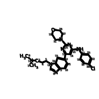 CN(C)CCCn1cnc2ccc(-c3cc(Nc4ccc(Cl)cc4)nc(N4CCOCC4)n3)cc21